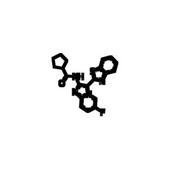 O=C(Nc1nc2ccc(F)cn2c1-c1nc2ccccc2s1)C1CCCC1